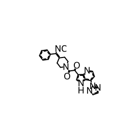 [C-]#[N+]C(=C1CCN(C(=O)C(=O)c2c[nH]c3c(-n4nccn4)ccnc23)CC1)c1ccccc1